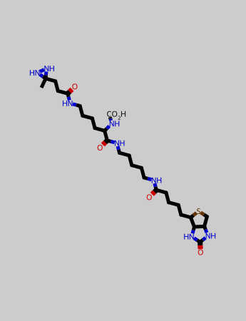 CC1(CCC(=O)NCCCCC(NC(=O)O)C(=O)NCCCCCNC(=O)CCCCC2SCC3NC(=O)NC32)NN1